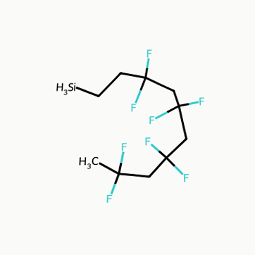 CC(F)(F)CC(F)(F)CC(F)(F)CC(F)(F)CC[SiH3]